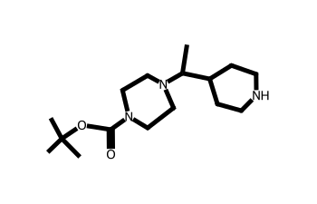 CC(C1CCNCC1)N1CCN(C(=O)OC(C)(C)C)CC1